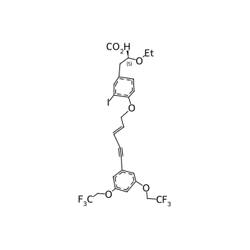 CCO[C@@H](Cc1ccc(OCC=CC#Cc2cc(OCC(F)(F)F)cc(OCC(F)(F)F)c2)c(I)c1)C(=O)O